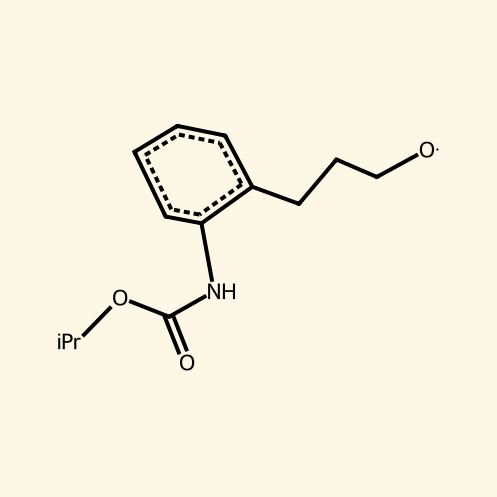 CC(C)OC(=O)Nc1ccccc1CCC[O]